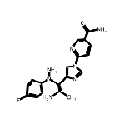 C/C(N)=C(\c1cn(-c2ccc(C(N)=O)cn2)cn1)N(N)c1ccc(F)cc1